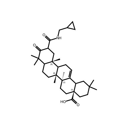 CC1(C)CC[C@]2(C(=O)O)CC[C@]3(C)C(=CCC4[C@@]5(C)CC(C(=O)NCC6CC6)C(=O)C(C)(C)C5CC[C@]43C)C2C1